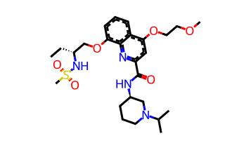 CC[C@H](COc1cccc2c(OCCOC)cc(C(=O)N[C@@H]3CCCN(C(C)C)C3)nc12)NS(C)(=O)=O